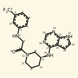 O=C(CNc1cccc(C(F)(F)F)c1)N1CCC[C@H](Nc2ncnc3[nH]ccc23)C1